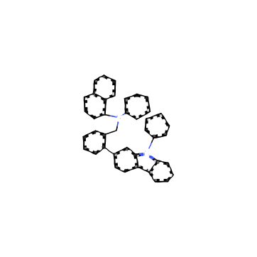 c1ccc(N(Cc2ccccc2-c2ccc3c4ccccc4n(-c4ccccc4)c3c2)c2cccc3ccccc23)cc1